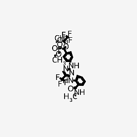 CCOP(=O)(OCC)C(OC(=O)C(F)(F)F)c1ccc(Nc2ncc(C(F)(F)F)c(Nc3ccccc3C(=O)NC)n2)cc1